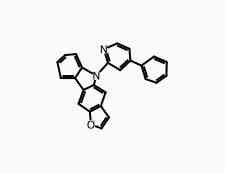 c1ccc(-c2ccnc(-n3c4ccccc4c4cc5occc5cc43)c2)cc1